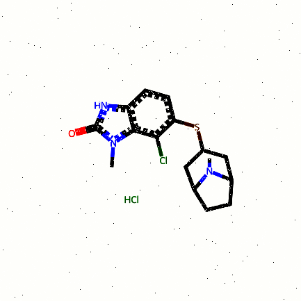 CN1C2CCC1CC(Sc1ccc3[nH]c(=O)n(C)c3c1Cl)C2.Cl